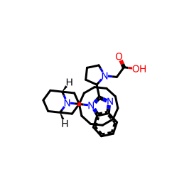 O=C(O)CN1CCCC1c1nc2ccccc2n1C1C[C@H]2CCC[C@@H](C1)N2C1CCCCCCCCC1